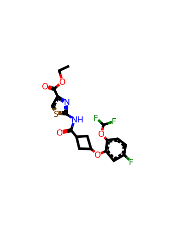 CCOC(=O)c1csc(NC(=O)C2CC(Oc3cc(F)ccc3OC(F)F)C2)n1